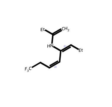 C=C(CC)NC(/C=C\CC(F)(F)F)=C/CC